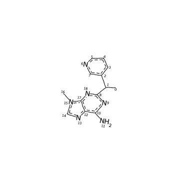 CC(c1cccnc1)c1nc(N)c2ncn(C)c2n1